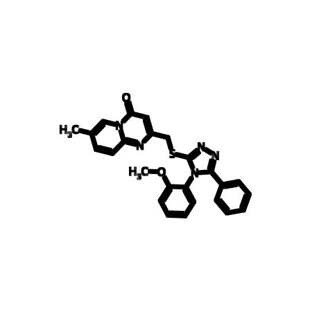 COc1ccccc1-n1c(SCc2cc(=O)n3cc(C)ccc3n2)nnc1-c1ccccc1